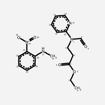 CCOC(=O)CCN(C=O)c1ccccn1.CNc1ccccc1[N+](=O)[O-]